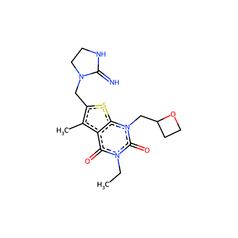 CCn1c(=O)c2c(C)c(CN3CCNC3=N)sc2n(CC2CCO2)c1=O